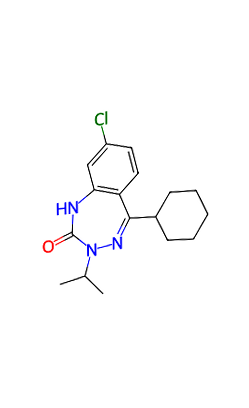 CC(C)N1N=C(C2CCCCC2)c2ccc(Cl)cc2NC1=O